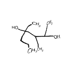 CCC(C)(O)[C](C)C(C)O